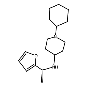 C[C@H](NC1CCN(C2CCCCC2)CC1)c1ccco1